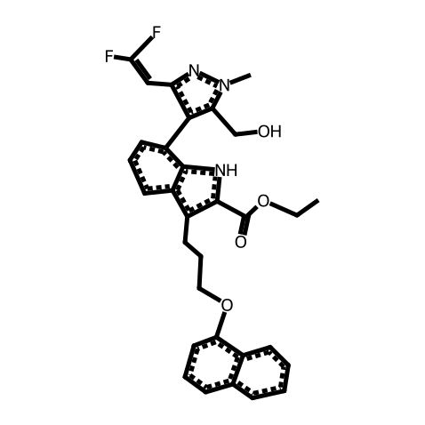 CCOC(=O)c1[nH]c2c(-c3c(C=C(F)F)nn(C)c3CO)cccc2c1CCCOc1cccc2ccccc12